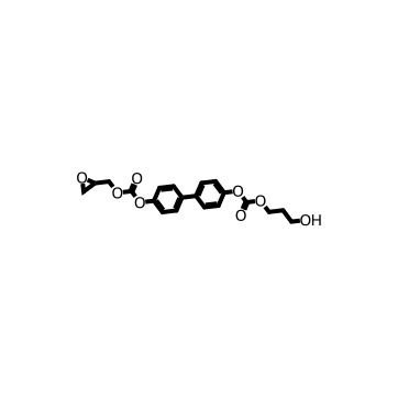 O=C(OCCCO)Oc1ccc(-c2ccc(OC(=O)OCC3CO3)cc2)cc1